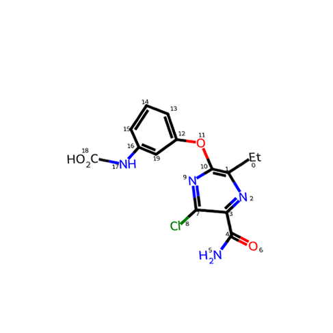 CCc1nc(C(N)=O)c(Cl)nc1Oc1cccc(NC(=O)O)c1